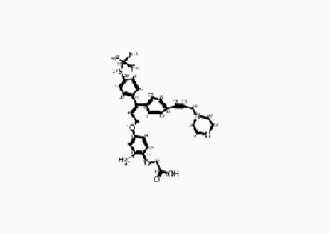 Cc1cc(OC/C=C(\c2ccc(C#CCN3CCOCC3)cc2)c2ccc(SC(F)(F)F)cc2)ccc1OCC(=O)O